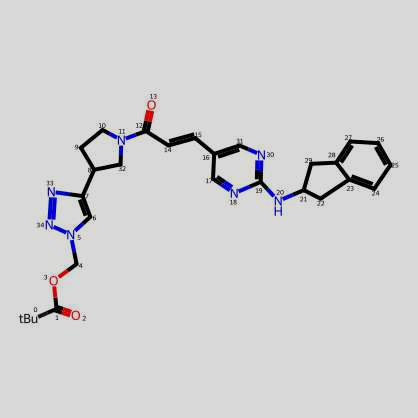 CC(C)(C)C(=O)OCn1cc(C2CCN(C(=O)/C=C/c3cnc(NC4Cc5ccccc5C4)nc3)C2)nn1